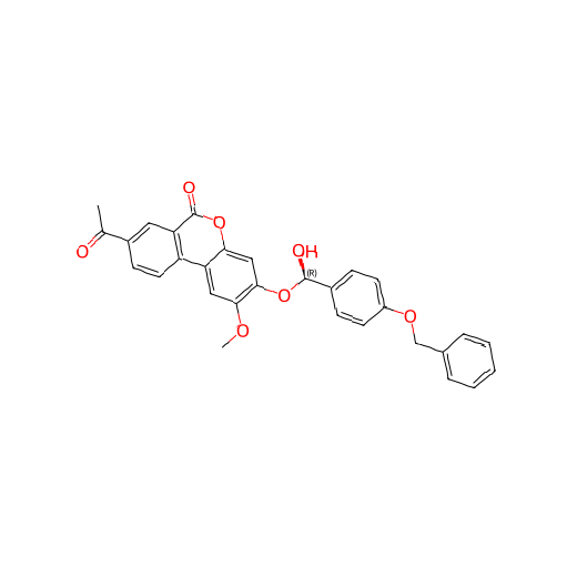 COc1cc2c(cc1O[C@@H](O)c1ccc(OCc3ccccc3)cc1)oc(=O)c1cc(C(C)=O)ccc12